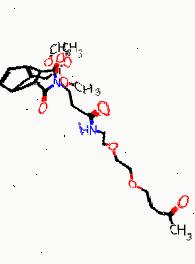 CO[Si](CC1C2C=CC1C1C(=O)N(CCC(=O)NCCOCCOCCC(C)=O)C(=O)C21)(OC)OC